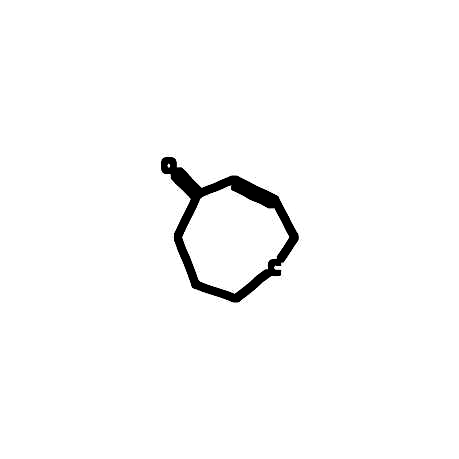 O=C1/C=C\CCCCC1